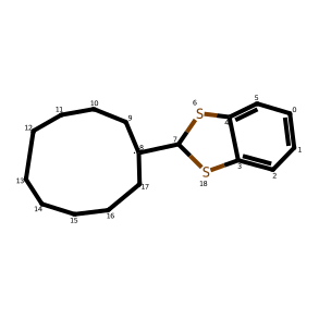 c1ccc2c(c1)SC([C]1CCCCCCCCC1)S2